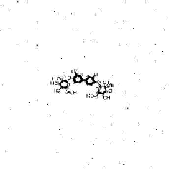 C[C@]1(O)[C@@H](Oc2ccc(-c3ccc(O[C@H]4O[C@H](CO)[C@@H](O)[C@H](O)[C@]4(C)O)c(Cl)c3)cc2Cl)O[C@H](CO)[C@@H](O)[C@@H]1O